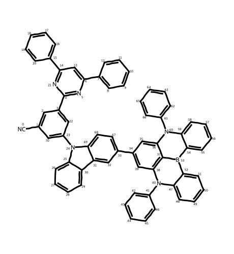 N#Cc1cc(-c2nc(-c3ccccc3)cc(-c3ccccc3)n2)cc(-n2c3ccccc3c3cc(-c4cc5c6c(c4)N(c4ccccc4)c4ccccc4B6c4ccccc4N5c4ccccc4)ccc32)c1